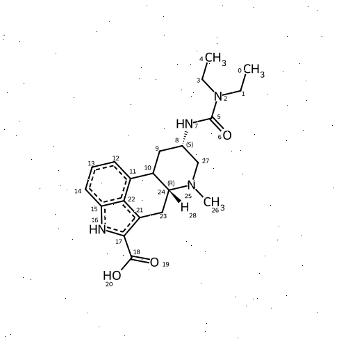 CCN(CC)C(=O)N[C@H]1CC2c3cccc4[nH]c(C(=O)O)c(c34)C[C@H]2N(C)C1